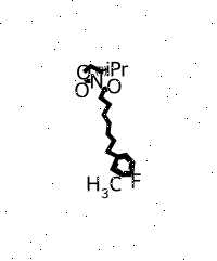 Cc1cc(CCCCCCCC(=O)N2C(=O)OC[C@H]2C(C)C)ccc1F